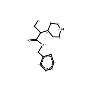 CCC(C(=O)OCc1ccccc1)C1CCNCC1